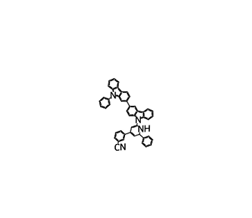 N#Cc1cccc(C2=CC(c3ccccc3)NC(n3c4ccccc4c4cc(-c5ccc6c7ccccc7n(-c7ccccc7)c6c5)ccc43)=C2)c1